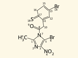 Cc1nc([N+](=O)[O-])c(Br)n1C(=O)CC1=CC(Br)=CCC1=S